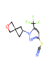 N#CSc1cc(C(F)(F)F)n(C2CC3(COC3)C2)n1